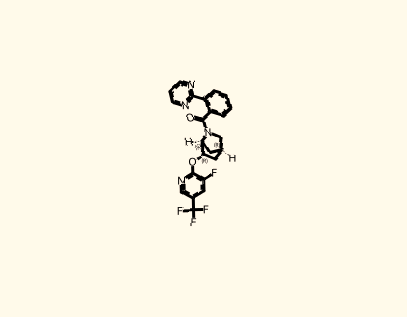 O=C(c1ccccc1-c1ncccn1)N1C[C@H]2C[C@@H](Oc3ncc(C(F)(F)F)cc3F)[C@@H]1C2